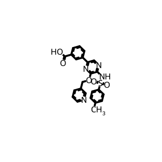 Cc1ccc(S(=O)(=O)Nc2ncc(-c3cccc(C(=O)O)c3)nc2OCc2cccnc2)cc1